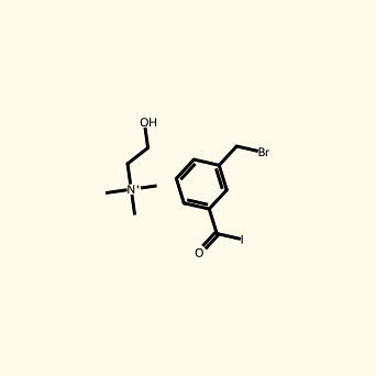 C[N+](C)(C)CCO.O=C(I)c1cccc(CBr)c1